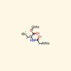 CNCC(=O)N[C@@H](CC(C)(C)C)C(=O)OOC